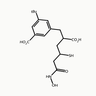 CC(C)(C)c1cc(CC(CC(S)CC(=O)NO)C(=O)O)cc(C(=O)O)c1